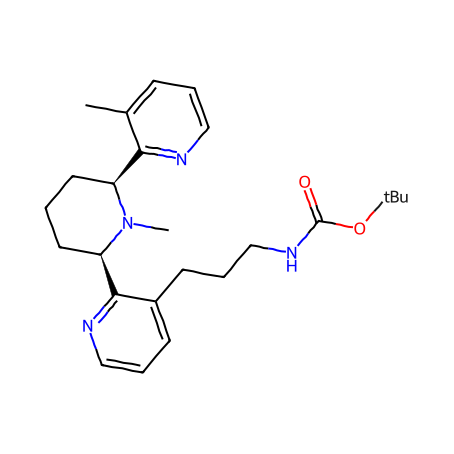 Cc1cccnc1[C@@H]1CCC[C@H](c2ncccc2CCCNC(=O)OC(C)(C)C)N1C